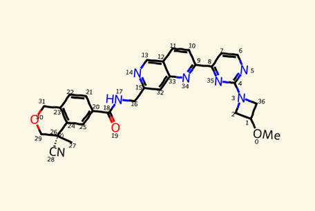 COC1CN(c2nccc(-c3ccc4cnc(CNC(=O)c5ccc6c(c5)[C@](C)(C#N)COC6)cc4n3)n2)C1